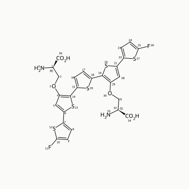 N[C@H](COc1cc(-c2ccc(F)s2)sc1-c1ccc(-c2sc(-c3ccc(F)s3)cc2OC[C@H](N)C(=O)O)s1)C(=O)O